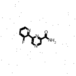 NC(=O)c1cncc(-c2ncccc2F)n1